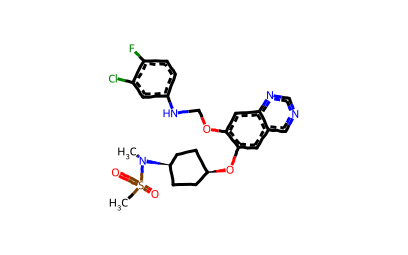 CN([C@H]1CC[C@@H](Oc2cc3cncnc3cc2OCNc2ccc(F)c(Cl)c2)CC1)S(C)(=O)=O